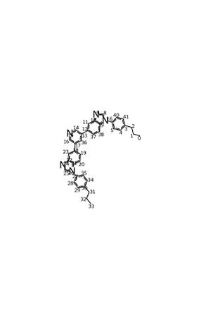 CCCc1ccc(-n2cnc3cc(-c4cncc(-c5ccc6c(c5)ncn6-c5ccc(CCC)cc5)c4)ccc32)cc1